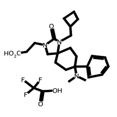 CN(C)C1(c2ccccc2)CCC2(CC1)CN(CCC(=O)O)C(=O)N2CC1CCC1.O=C(O)C(F)(F)F